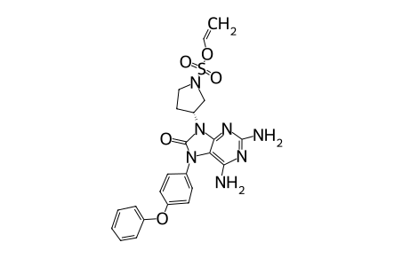 C=COS(=O)(=O)N1CC[C@@H](n2c(=O)n(-c3ccc(Oc4ccccc4)cc3)c3c(N)nc(N)nc32)C1